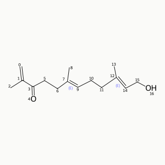 C=C(C)C(=O)CC/C(C)=C/CC/C(C)=C/CO